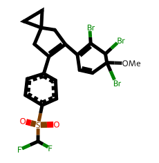 COC1(Br)C=CC(C2=C(c3ccc(S(=O)(=O)C(F)F)cc3)CC3(CC3)C2)=C(Br)C1Br